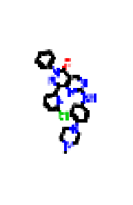 CN1CCN(c2ccc(Nc3ncc4c(=O)n(-c5ccccc5)nc(-c5cccc(Cl)n5)c4n3)cc2)CC1